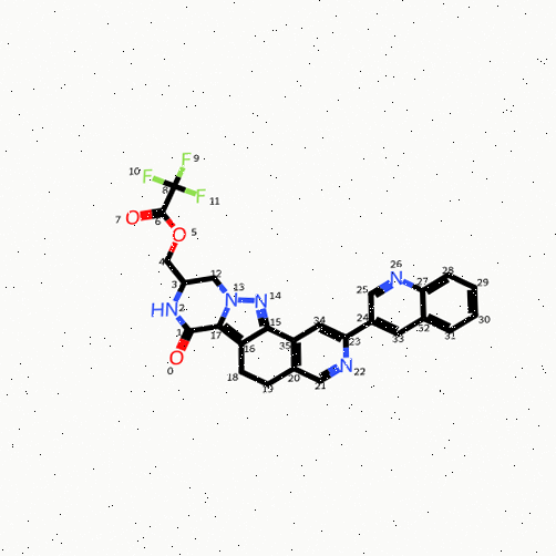 O=C1NC(COC(=O)C(F)(F)F)Cn2nc3c(c21)CCc1cnc(-c2cnc4ccccc4c2)cc1-3